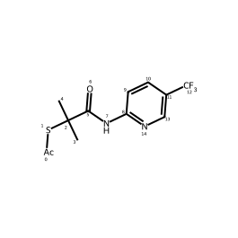 CC(=O)SC(C)(C)C(=O)Nc1ccc(C(F)(F)F)cn1